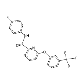 O=C(Nc1ccc(F)cc1)c1nccc(Oc2cccc(C(F)(F)F)c2)n1